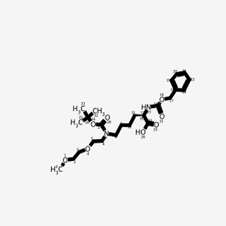 COCCOCCN(CCCC[C@@H](NC(=O)OCc1ccccc1)C(=O)O)C(=O)OC(C)(C)C